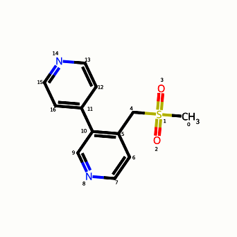 CS(=O)(=O)Cc1ccncc1-c1ccncc1